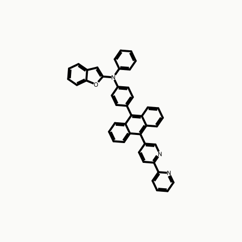 c1ccc(N(c2ccc(-c3c4ccccc4c(-c4ccc(-c5ccccn5)nc4)c4ccccc34)cc2)c2cc3ccccc3o2)cc1